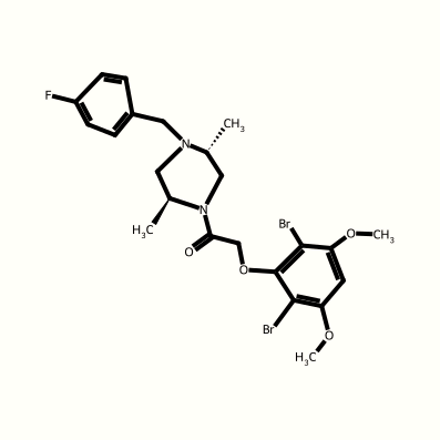 COc1cc(OC)c(Br)c(OCC(=O)N2C[C@@H](C)N(Cc3ccc(F)cc3)C[C@@H]2C)c1Br